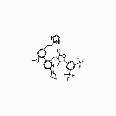 COc1ccc(CCc2ncc[nH]2)cc1-c1ccc(N2CCC2)nc1CN1C(=O)OC(c2cc(C(F)(F)F)cc(C(F)(F)F)c2)C1C